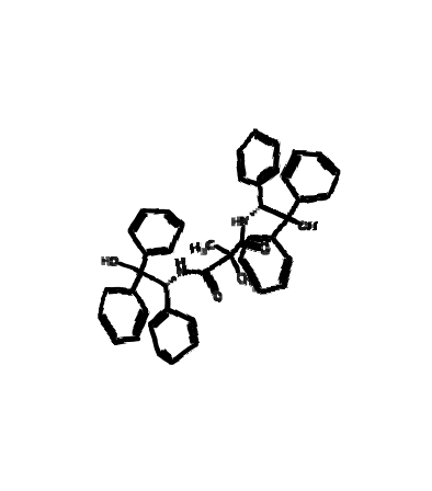 CC(C)(C(=O)N[C@H](c1ccccc1)C(O)(c1ccccc1)c1ccccc1)C(=O)N[C@H](c1ccccc1)C(O)(c1ccccc1)c1ccccc1